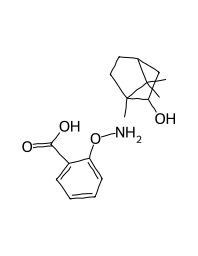 CC1(C)C2CCC1(C)C(O)C2.NOc1ccccc1C(=O)O